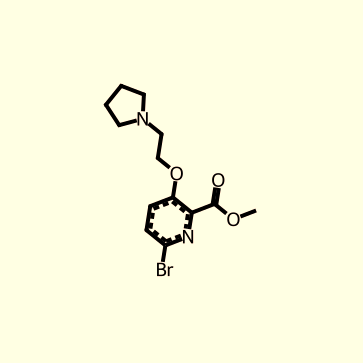 COC(=O)c1nc(Br)ccc1OCCN1CCCC1